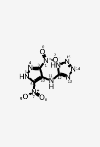 O=[N+]([O-])c1n[nH]c([N+](=O)[O-])c1Nc1nnn[nH]1